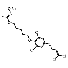 CC(=NOCC(C)C)OCCCCCOc1c(Cl)cc(OCC=C(Cl)Cl)cc1Cl